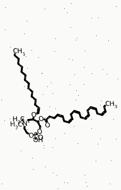 CC/C=C\C/C=C\C/C=C\C/C=C\C/C=C\C/C=C\CCC(=O)OC1COP(=O)(O)OCC[N+](C)(C)CC1O/C=C\CCCCCCCCCCCCCC